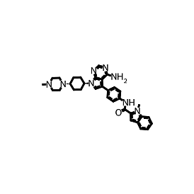 CN1CCN([C@H]2CC[C@H](n3cc(-c4ccc(NC(=O)c5cc6ccccc6n5C)cc4)c4c(N)ncnc43)CC2)CC1